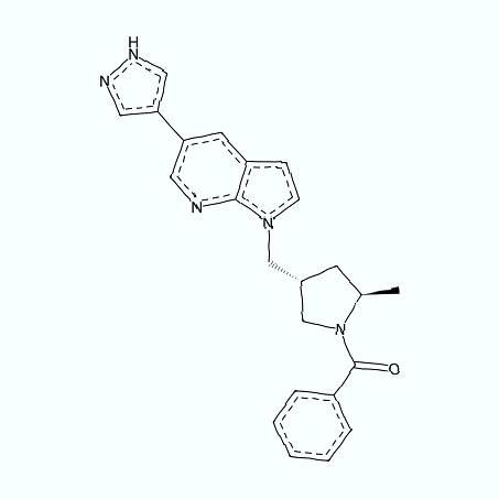 C[C@@H]1C[C@@H](Cn2ccc3cc(-c4cn[nH]c4)cnc32)CN1C(=O)c1ccccc1